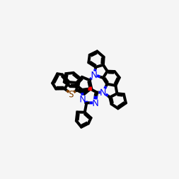 c1ccc(-c2cc(-n3c4ccccc4c4ccc5c6ccccc6n(-c6ccc7sc8ccccc8c7c6)c5c43)nc(-c3ccccc3)n2)cc1